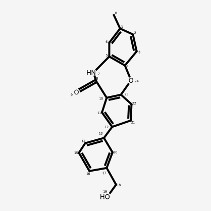 Cc1ccc2c(c1)NC(=O)c1cc(-c3cccc(CO)c3)ccc1O2